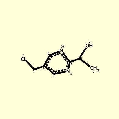 CC(O)c1ncc(CCl)cn1